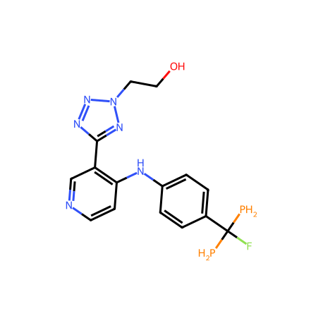 OCCn1nnc(-c2cnccc2Nc2ccc(C(F)(P)P)cc2)n1